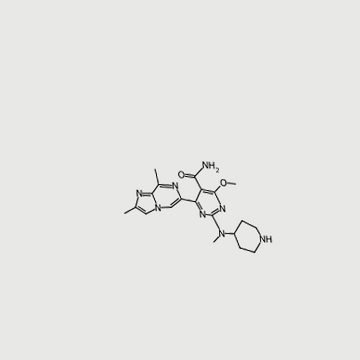 COc1nc(N(C)C2CCNCC2)nc(-c2cn3cc(C)nc3c(C)n2)c1C(N)=O